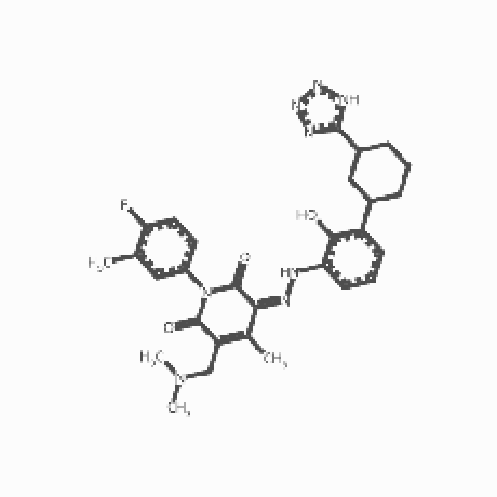 CC1=C(CN(C)C)C(=O)N(c2ccc(F)c(C)c2)C(=O)C1=NNc1cccc(C2CCCC(c3nnn[nH]3)C2)c1O